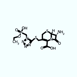 CCOP(=O)(O)Cn1nnnc1SCC1=C(C(=O)O)N2C(=O)[C@@H](N)[C@H]2SC1